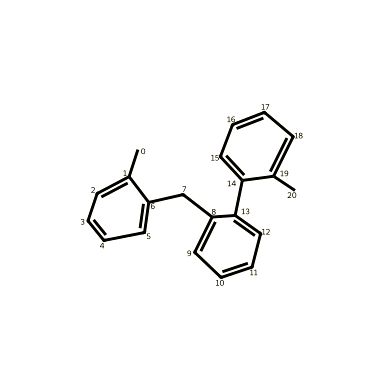 Cc1ccccc1Cc1ccccc1-c1ccccc1C